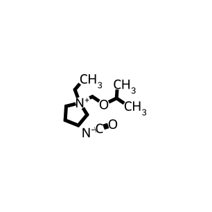 CC[N+]1(COC(C)C)CCCC1.[N-]=C=O